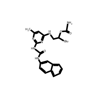 Cc1cc(NCC(OC(N)=O)C(C)(C)C)nc(NC(=O)Nc2ccc3ccccc3c2)n1